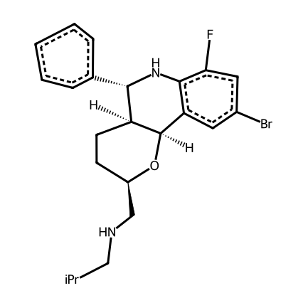 CC(C)CNC[C@H]1CC[C@@H]2[C@H](O1)c1cc(Br)cc(F)c1N[C@H]2c1ccccc1